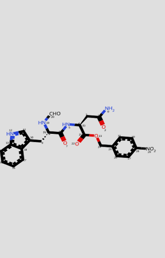 NC(=O)C[C@H](NC(=O)[C@H](Cc1c[nH]c2ccccc12)NC=O)C(=O)OCc1ccc([N+](=O)[O-])cc1